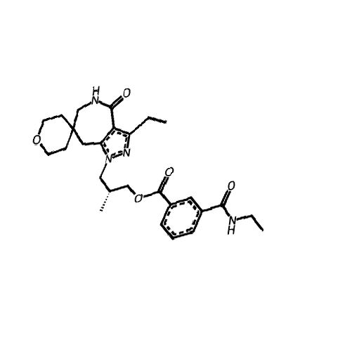 CCNC(=O)c1cccc(C(=O)OC[C@H](C)Cn2nc(CC)c3c2CC2(CCOCC2)CNC3=O)c1